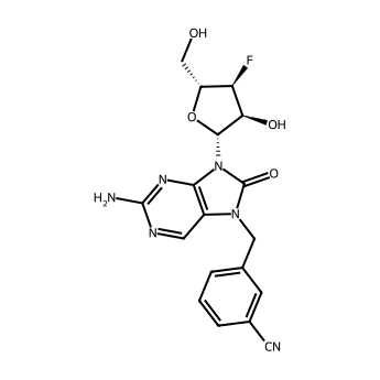 N#Cc1cccc(Cn2c(=O)n([C@@H]3O[C@H](CO)[C@@H](F)[C@H]3O)c3nc(N)ncc32)c1